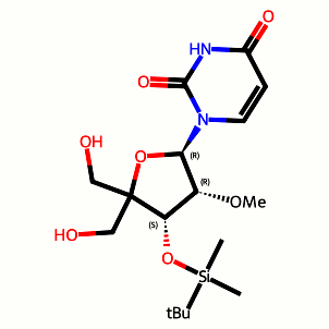 CO[C@H]1[C@H](n2ccc(=O)[nH]c2=O)OC(CO)(CO)[C@H]1O[Si](C)(C)C(C)(C)C